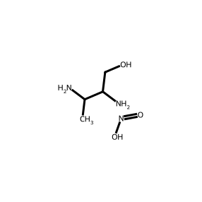 CC(N)C(N)CO.O=NO